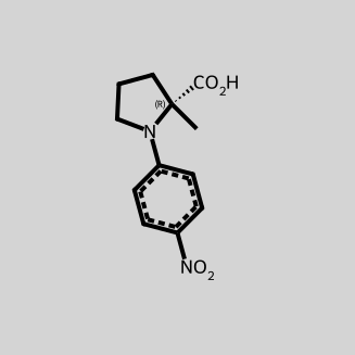 C[C@]1(C(=O)O)CCCN1c1ccc([N+](=O)[O-])cc1